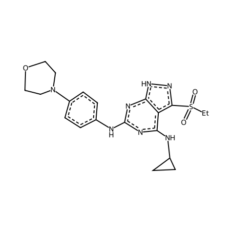 CCS(=O)(=O)c1n[nH]c2nc(Nc3ccc(N4CCOCC4)cc3)nc(NC3CC3)c12